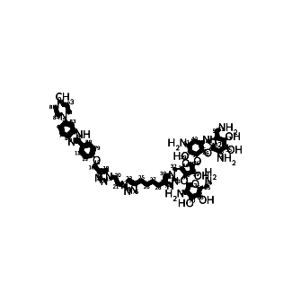 CN1CCN(c2ccc3nc(-c4ccc(OCc5cn(CCn6cc(CCCCc7cn(C[C@H]8OC(O[C@@H]9C(O)[C@H](N)CC(N)[C@H]9O[C@H]9OC(CN)[C@@H](O)[C@H](O)C9N)[C@@H](O)[C@H]8O[C@H]8O[C@@H](CN)[C@@H](O)C(O)C8N)nn7)nn6)nn5)cc4)[nH]c3c2)CC1